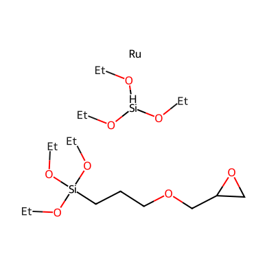 CCO[SiH](OCC)OCC.CCO[Si](CCCOCC1CO1)(OCC)OCC.[Ru]